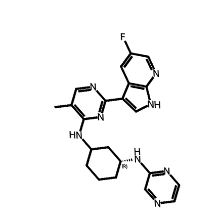 Cc1cnc(-c2c[nH]c3ncc(F)cc23)nc1NC1CCC[C@@H](Nc2cnccn2)C1